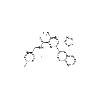 Nc1nc(-c2ncco2)c(-c2ccc3ncccc3c2)nc1C(=O)NCc1ncc(F)cc1Cl